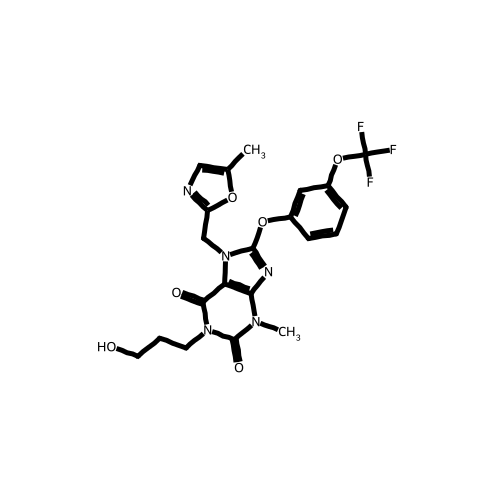 Cc1cnc(Cn2c(Oc3cccc(OC(F)(F)F)c3)nc3c2c(=O)n(CCCO)c(=O)n3C)o1